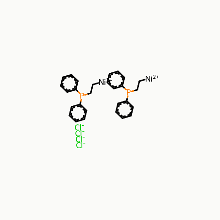 [Cl-].[Cl-].[Cl-].[Cl-].[Ni+2][CH2]CP(c1ccccc1)c1ccccc1.[Ni+2][CH2]CP(c1ccccc1)c1ccccc1